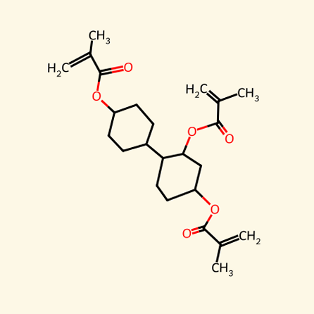 C=C(C)C(=O)OC1CCC(C2CCC(OC(=O)C(=C)C)CC2OC(=O)C(=C)C)CC1